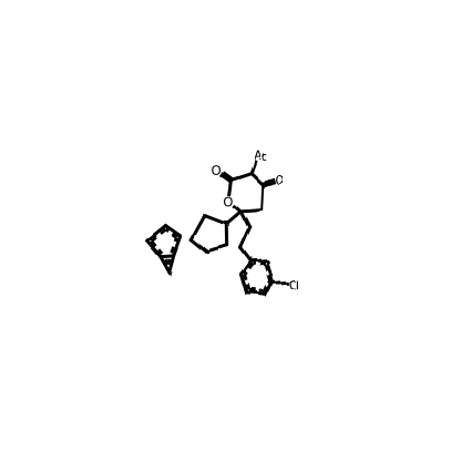 CC(=O)C1C(=O)CC(CCc2cccc(Cl)c2)(C2CCCC2)OC1=O.c1cc2cc-2c1